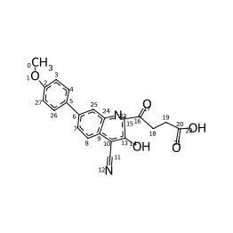 COc1ccc(-c2ccc3c(C#N)c(O)c(C(=O)CCC(=O)O)nc3c2)cc1